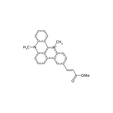 COC(=O)/C=C/c1ccc2c(c1)c1cccc3c1c([n+]2C)-c1ccccc1N3C